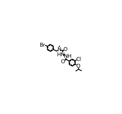 CC(C)Oc1ccc(C(=O)NNC(=O)N(C)Cc2ccc(Br)cc2)cc1Cl